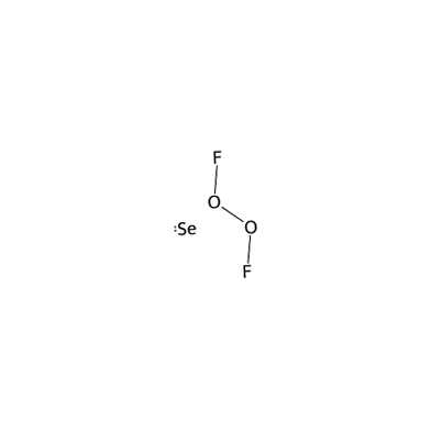 FOOF.[Se]